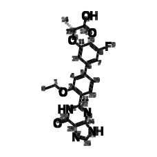 CCOc1cc(-c2cc(F)cc(O[C@H](C)C(=O)O)c2)ccc1-c1nc2[nH]cnc2c(=O)[nH]1